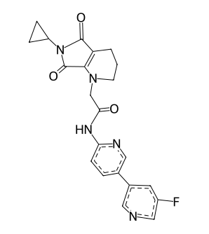 O=C(CN1CCCC2=C1C(=O)N(C1CC1)C2=O)Nc1ccc(-c2cncc(F)c2)cn1